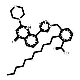 CCCCCCCCCCCc1c(Cn2cc(-c3cccc4c(=O)cc(N5CCOCC5)[nH]c34)nn2)cccc1C(=O)O